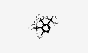 COC(C)(c1ccc(C)c(C(C)(OC)C(F)(F)F)c1C(OC)(C(F)(F)F)C(F)(F)F)C(F)(F)F